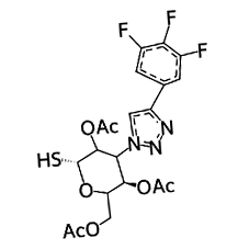 CC(=O)OCC1O[C@H](S)C(OC(C)=O)C(n2cc(-c3cc(F)c(F)c(F)c3)nn2)[C@H]1OC(C)=O